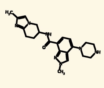 Cc1cn2c(n1)CCC(NC(=O)c1ccc(N3CCNCC3)c3cn(C)nc13)C2